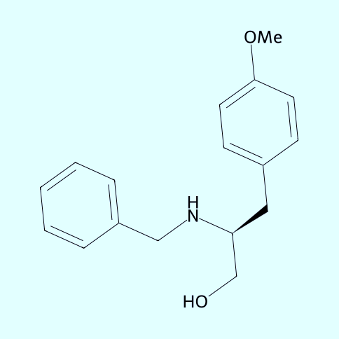 COc1ccc(C[C@@H](CO)NCc2ccccc2)cc1